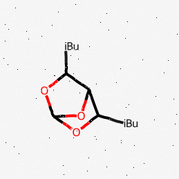 CCC(C)C1OC2OC(C(C)CC)C1O2